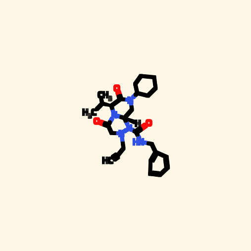 C#CCN1CC(=O)N2[C@@H](C(C)C)C(=O)N(C3CCCCC3)C[C@@H]2N1C(=O)NCc1ccccc1